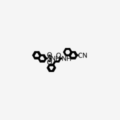 N#Cc1ccc2c(c1)CCCC2NC(=O)CC(NS(=O)(=O)c1ccc2ccccc2c1)c1ccccc1